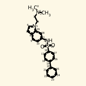 CN(C)CCn1ccc2ccc(NS(=O)(=O)c3ccc(-c4ccccc4)cc3)cc21